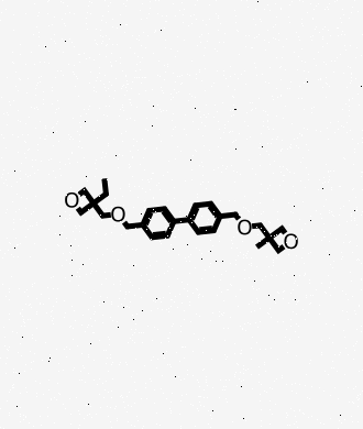 CCC1(COCc2ccc(-c3ccc(COCC4(C)COC4)cc3)cc2)COC1